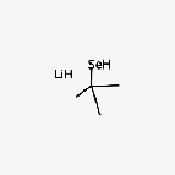 CC(C)(C)[SeH].[LiH]